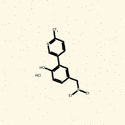 CCN(CC)Cc1ccc(O)c(-c2ccc(C(F)(F)F)nc2)c1.Cl